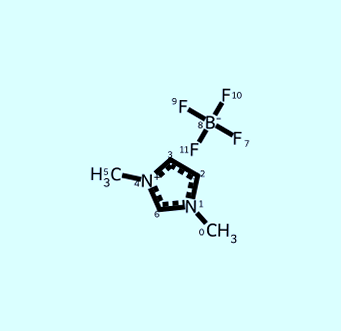 Cn1cc[n+](C)c1.F[B-](F)(F)F